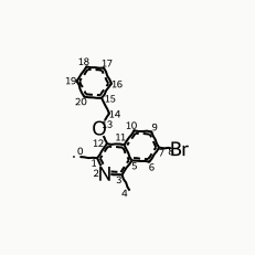 [CH2]c1nc(C)c2cc(Br)ccc2c1OCc1ccccc1